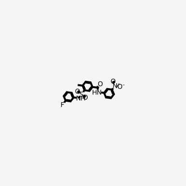 Cc1ccc(C(=O)Nc2cccc([N+](=O)[O-])c2)cc1S(=O)(=O)Nc1cccc(F)c1